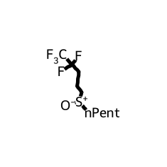 [CH2]CCCC[S+]([O-])CCCC(F)(F)C(F)(F)F